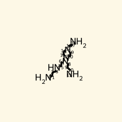 NCCCNCCN(CCCN)N1CCN(CCN)CC1